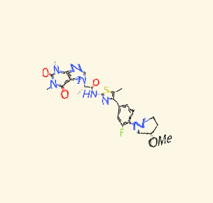 CO[C@H]1CCN(c2ccc(-c3nc(NC(=O)[C@H](C)n4cnc5c4c(=O)n(C)c(=O)n5C)sc3C)cc2F)C1